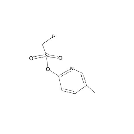 Cc1ccc(OS(=O)(=O)CF)nc1